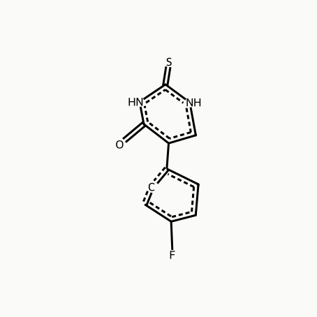 O=c1[nH]c(=S)[nH]cc1-c1ccc(F)cc1